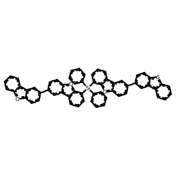 c1ccc([Si](c2ccccc2)(c2cccc3c2oc2ccc(-c4ccc5oc6ccccc6c5c4)cc23)c2cccc3c2oc2ccc(-c4ccc5sc6ccccc6c5c4)cc23)cc1